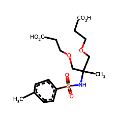 Cc1ccc(S(=O)(=O)NC(C)(COCCC(=O)O)COCCC(=O)O)cc1